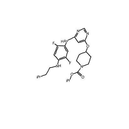 CC(C)CCNc1cc(F)c([AsH]c2cc(OC3CCN(C(=O)OC(C)C)CC3)ncn2)cc1F